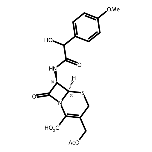 COc1ccc(C(O)C(=O)N[C@@H]2C(=O)N3C(C(=O)O)=C(COC(C)=O)CS[C@H]23)cc1